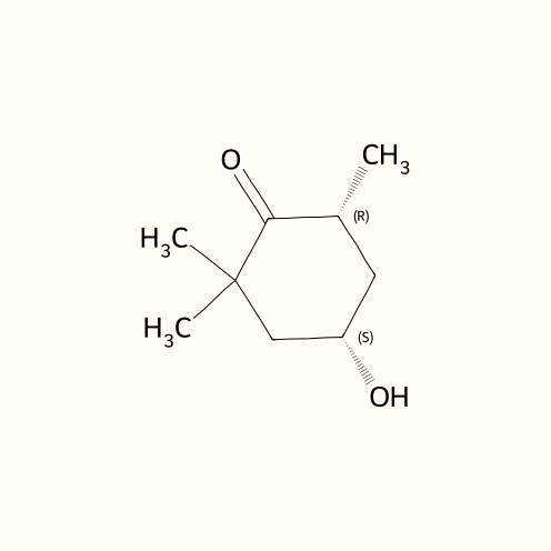 C[C@@H]1C[C@H](O)CC(C)(C)C1=O